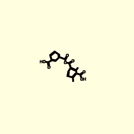 Cc1ccc(C(=O)OC(=O)c2cccc(C(=O)O)c2)c(C)c1C(=O)O